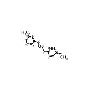 C\C=C/C=C\C(N)=C\COCc1cccc(C)c1